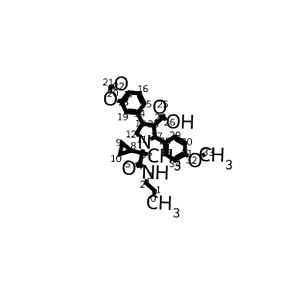 CCCNC(=O)C(C)(C1CC1)N1CC(c2ccc3c(c2)OCO3)C(C(=O)O)C1c1ccc(OC)cc1